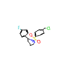 O=S(=O)(c1ccc(CCl)cc1)N1CCCC1c1ccc(F)cc1